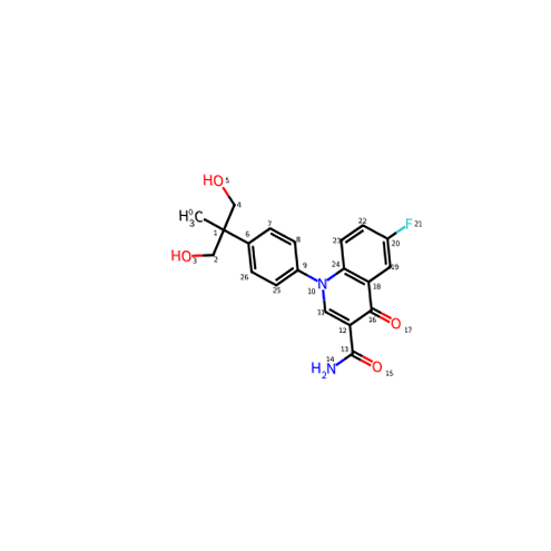 CC(CO)(CO)c1ccc(-n2cc(C(N)=O)c(=O)c3cc(F)ccc32)cc1